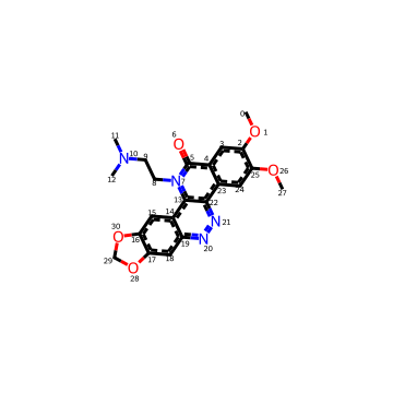 COc1cc2c(=O)n(CCN(C)C)c3c4cc5c(cc4nnc3c2cc1OC)OCO5